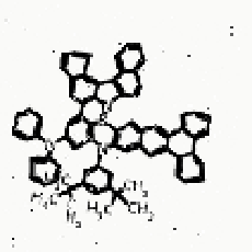 CC(C)(C)c1cc(N2c3cc4cc5c6ccccc6c6ccccc6c5cc4cc3B3c4c(cc(N(c5ccccc5)c5ccccc5)cc42)-c2cc4ccccc4c4c5c6ccccc6ccc5n3c24)cc(C(C)(C)C)c1